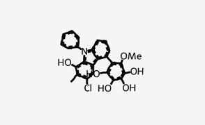 COc1c(O)c(O)c(O)c(O)c1-c1cccc2c1c1cc(Cl)c(C)c(O)c1n2-c1ccccc1